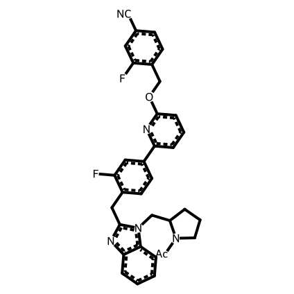 CC(=O)N1CCCC1Cn1c(Cc2ccc(-c3cccc(OCc4ccc(C#N)cc4F)n3)cc2F)nc2ccccc21